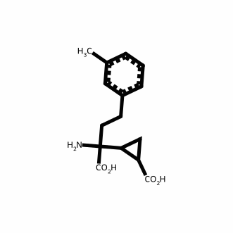 Cc1cccc(CCC(N)(C(=O)O)C2CC2C(=O)O)c1